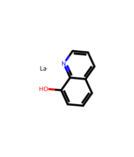 Oc1cccc2cccnc12.[La]